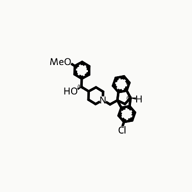 COc1cccc([C@H](O)C2CCN(CC34C[C@H](c5ccccc53)c3ccc(Cl)cc34)CC2)c1